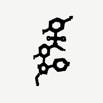 [CH2]N(c1ccc(F)c(-c2nn(CC)cc2-c2ccncc2)c1)S(=O)(=O)c1cc(F)ccc1F